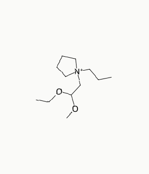 CCC[N+]1(CC(OC)OCC)CCCC1